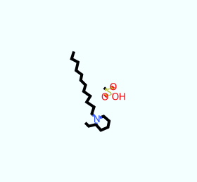 CCCCCCCCCCCCN1CCCCC1CC.CS(=O)(=O)O